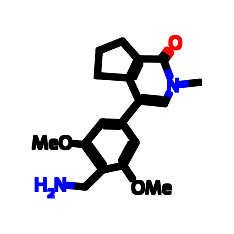 COc1cc(-c2cn(C)c(=O)c3c2CCC3)cc(OC)c1CN